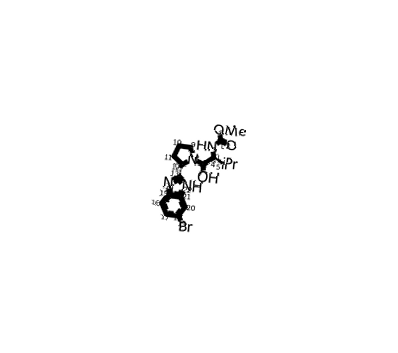 COC(=O)N[C@@H](C(C)C)C(O)N1CCC[C@H]1c1nc2ccc(Br)cc2[nH]1